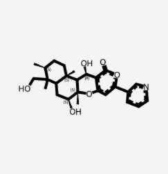 C[C@H]1CC[C@@]2(C)C(C[C@H](O)[C@@]3(C)Oc4cc(-c5cccnc5)oc(=O)c4[C@H](O)C23)C1(C)CO